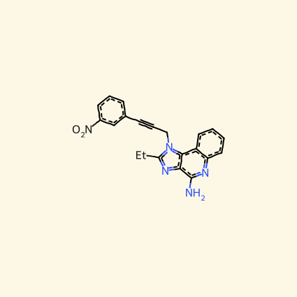 CCc1nc2c(N)nc3ccccc3c2n1CC#Cc1cccc([N+](=O)[O-])c1